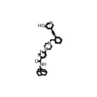 O=C(NCC12CC3CC(CC(C3)C1)C2)c1ccc(N2CCN(Cc3ccccc3C#Cc3cncc(O)c3)CC2)nn1